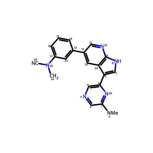 CNc1cncc(-c2c[nH]c3ncc(-c4cccc(N(C)C#N)c4)cc23)n1